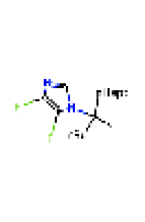 CCCCCCCC(C)(CCCC)n1cnc(F)c1F